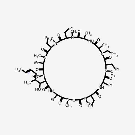 C/C=C/CC(C)C(O)C1C(=O)NC(CC)C(=O)N(C)CC(=O)N(C)C(CC(C)C)C(=O)NC(C(C)C)C(=O)N(C)C(CC(C)C)C(=O)N(CP)C(C)C(=O)NC(C)C(=O)N(C)C(CC(C)C)C(=O)N(C)C(CC(C)C)C(=O)N(C)C(C(C)C)C(=O)N1C